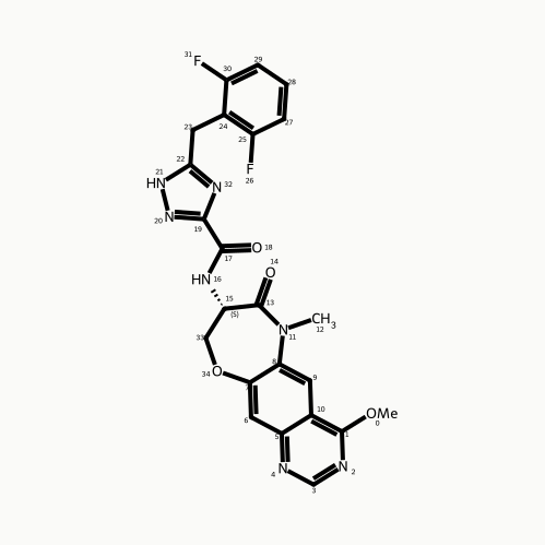 COc1ncnc2cc3c(cc12)N(C)C(=O)[C@@H](NC(=O)c1n[nH]c(Cc2c(F)cccc2F)n1)CO3